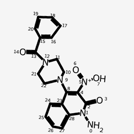 Nn1c(=O)c([N+](=O)O)c(N2CCN(C(=O)c3ccccc3)CC2)c2ccccc21